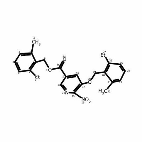 CCc1cccc(C)c1COC(=O)c1cnc([N+](=O)[O-])c(OCc2c(C)cccc2CC)c1